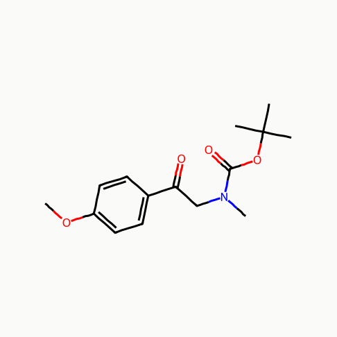 COc1ccc(C(=O)CN(C)C(=O)OC(C)(C)C)cc1